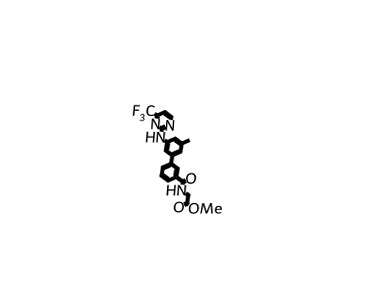 COC(=O)CNC(=O)c1cccc(-c2cc(C)cc(Nc3nccc(C(F)(F)F)n3)c2)c1